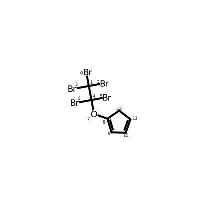 BrC(Br)(Br)C(Br)(Br)OC1=CC=CC1